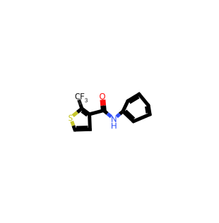 O=C(Nc1ccccc1)c1ccsc1C(F)(F)F